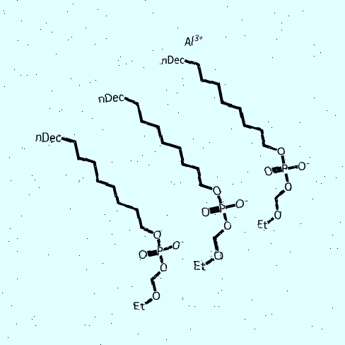 CCCCCCCCCCCCCCCCCCOP(=O)([O-])OCOCC.CCCCCCCCCCCCCCCCCCOP(=O)([O-])OCOCC.CCCCCCCCCCCCCCCCCCOP(=O)([O-])OCOCC.[Al+3]